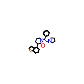 O=C1C(c2cccc3sccc23)CCCN1[C@H](CN1CCCC1)c1ccccc1